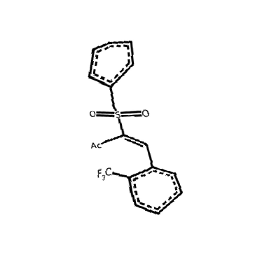 CC(=O)C(=Cc1ccccc1C(F)(F)F)S(=O)(=O)c1ccccc1